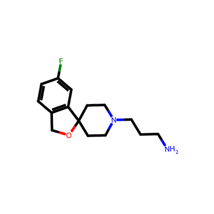 NCCCN1CCC2(CC1)OCc1ccc(F)cc12